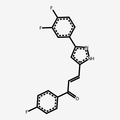 O=C(C=Cc1cc(-c2ccc(F)c(F)c2)n[nH]1)c1ccc(F)cc1